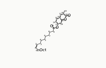 CCCCCCCC/C=C\CCCCCCCC(=O)Oc1ccc2cc(C)c(=O)oc2c1